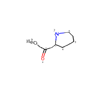 COC(=O)C1CCC[N]1